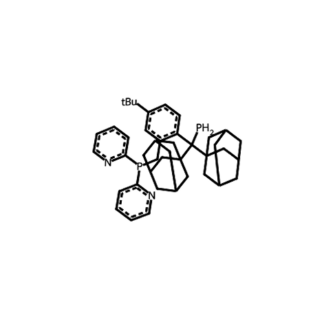 CC(C)(C)c1ccc(C(P)(C23CC4CC(CC(C4)C2)C3)C23CC4CC(CC(C4)C2)C3)c(CP(c2ccccn2)c2ccccn2)c1